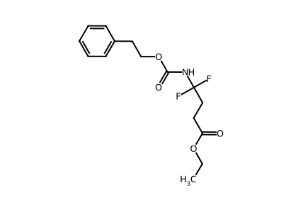 CCOC(=O)CCC(F)(F)NC(=O)OCCc1ccccc1